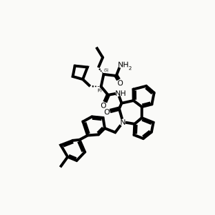 CCC[C@H](C(N)=O)[C@@H](CC1CCC1)C(=O)NC1C(=O)N(Cc2cccc(-c3ccc(C)cc3)c2)c2ccccc2-c2ccccc21